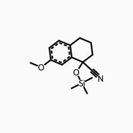 COc1ccc2c(c1)C(C#N)(O[Si](C)(C)C)CCC2